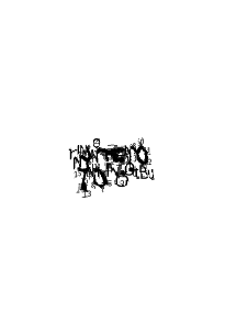 CC(C)(C)OC(=O)N[C@@H]1CCCN(c2c(C3CC3)cnc3[nH]cc(NC(=O)c4cnn(Cc5ccccc5)c4)c23)C1